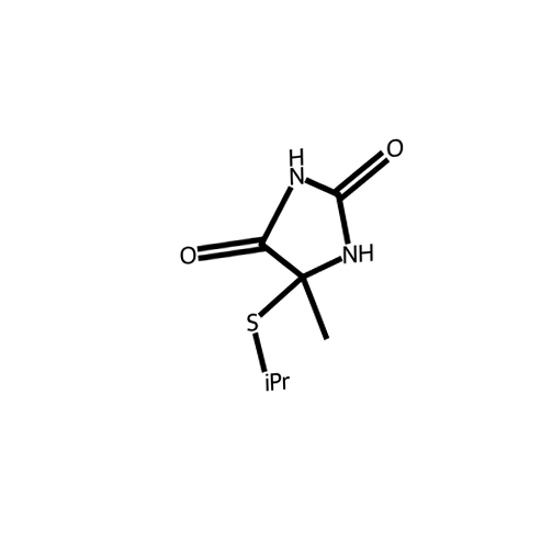 CC(C)SC1(C)NC(=O)NC1=O